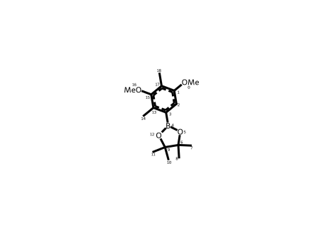 COc1cc(B2OC(C)(C)C(C)(C)O2)c(C)c(OC)c1C